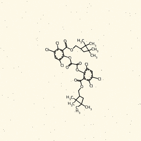 CC1(C)CC(COC(=O)c2c(Cl)c(Cl)cc(Cl)c2OC(=O)C(=O)Oc2c(Cl)cc(Cl)c(Cl)c2C(=O)OCC2CC(C)(C)C2(C)C)C1(C)C